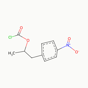 CC(Cc1ccc([N+](=O)[O-])cc1)OC(=O)Cl